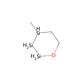 C[SiH]1CCO[SiH2][SiH2]1